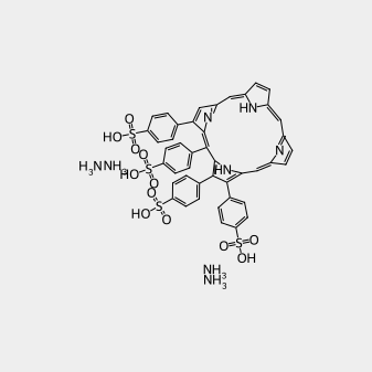 N.N.N.N.O=S(=O)(O)c1ccc(C2=Cc3cc4ccc(cc5nc(cc6[nH]c(c(-c7ccc(S(=O)(=O)O)cc7)c2n3)c(-c2ccc(S(=O)(=O)O)cc2)c6-c2ccc(S(=O)(=O)O)cc2)C=C5)[nH]4)cc1